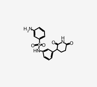 Nc1cccc(S(=O)(=O)Nc2cccc(C3CCC(=O)NC3=O)c2)c1